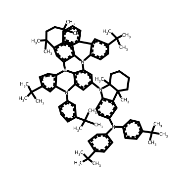 CC(C)(C)c1ccc(N(c2ccc(C(C)(C)C)cc2)c2ccc3c(c2)C2(C)CCCCC2(C)N3c2cc3c4c(c2)N(c2ccc(C(C)(C)C)cc2-c2ccccc2)c2cc5c(cc2B4c2ccc(C(C)(C)C)cc2N3c2cccc(C(C)(C)C)c2)C(C)(C)CCC5(C)C)cc1